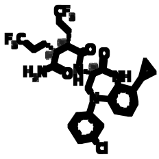 NC(=O)[C@H](CCC(F)(F)F)[C@H](CCC(F)(F)F)C(=O)N[C@H]1CN(c2cccc(Cl)c2)c2cccc(C3CC3)c2NC1=O